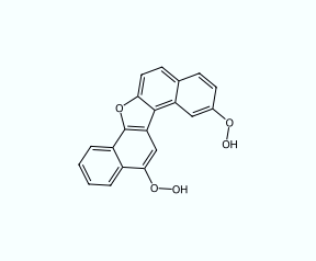 OOc1ccc2ccc3oc4c5ccccc5c(OO)cc4c3c2c1